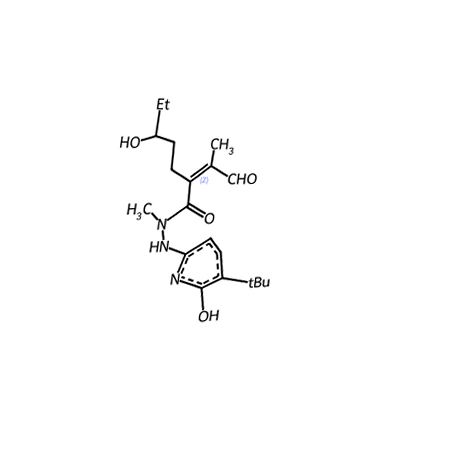 CCC(O)CC/C(C(=O)N(C)Nc1ccc(C(C)(C)C)c(O)n1)=C(\C)C=O